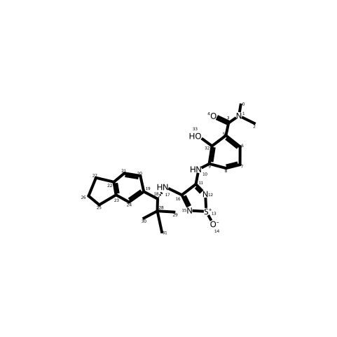 CN(C)C(=O)c1cccc(Nc2n[s+]([O-])nc2N[C@@H](c2ccc3c(c2)CCC3)C(C)(C)C)c1O